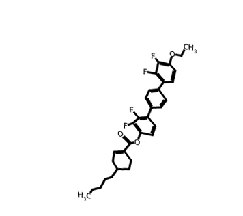 CCCCCC1CC=C(C(=O)Oc2ccc(-c3ccc(-c4ccc(OCC)c(F)c4F)cc3)c(F)c2F)CC1